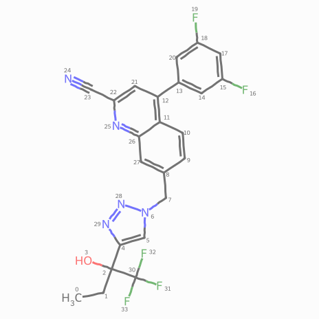 CCC(O)(c1cn(Cc2ccc3c(-c4cc(F)cc(F)c4)cc(C#N)nc3c2)nn1)C(F)(F)F